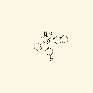 CC(NS(=O)(=O)c1ccc2ccccc2c1)C(Cc1ccc(Cl)cc1)c1ccccc1